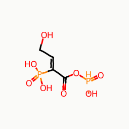 O=C(O[PH](=O)O)C(=CCO)P(=O)(O)O